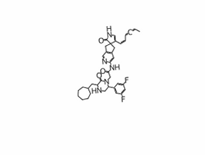 CC=C=C/C=C\C1=CNC(=O)C12Cc1cnc(NC(=O)CN3C(=O)C(CC4CCCCCC4)NCC3c3cc(F)cc(F)c3)cc1C2